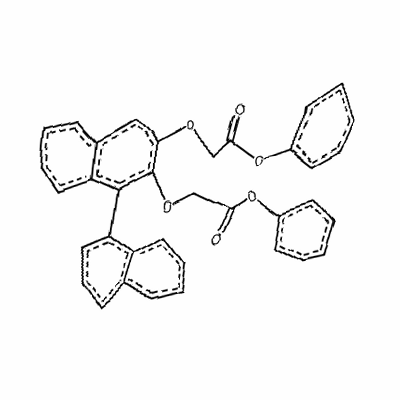 O=C(COc1cc2ccccc2c(-c2cccc3ccccc23)c1OCC(=O)Oc1ccccc1)Oc1ccccc1